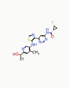 CC[C@@H](O)c1cc(C)c(Nc2scnc2-c2cc(NC(=O)[C@H]3C[C@H]3F)ncn2)cn1